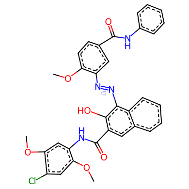 COc1cc(NC(=O)c2cc3ccccc3c(/N=N/c3cc(C(=O)Nc4ccccc4)ccc3OC)c2O)c(OC)cc1Cl